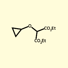 CCOC(=O)C(OC1CC1)C(=O)OCC